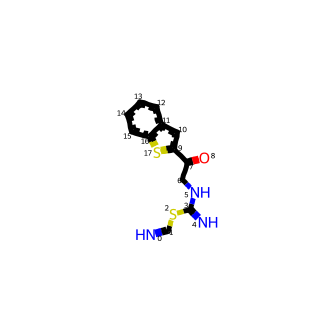 N=CSC(=N)NCC(=O)c1cc2ccccc2s1